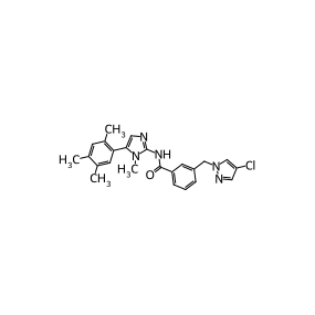 Cc1cc(C)c(-c2cnc(NC(=O)c3cccc(Cn4cc(Cl)cn4)c3)n2C)cc1C